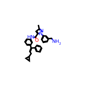 Cc1cc(C(=O)Nc2cccc(C(=CCC3CC3)c3ccccc3)c2)n(-c2cccc(CN)c2)n1